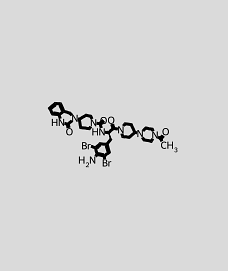 CC(=O)N1CCN(C2CCN(C(=O)[C@@H](Cc3cc(Br)c(N)c(Br)c3)NC(=O)N3CCC(N4Cc5ccccc5NC4=O)CC3)CC2)CC1